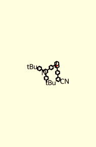 CC(C)(C)c1ccc(-c2cc(-c3ccc(C45CC6CC(CC(c7ccc(-c8cccc(C#N)c8)cc7)(C6)C4)C5)cc3)cc(-c3ccc(C(C)(C)C)cc3)n2)cc1